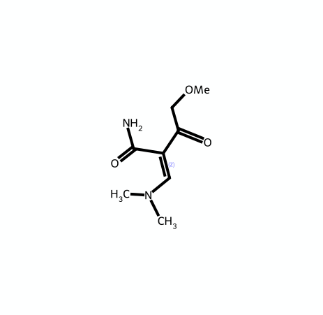 COCC(=O)/C(=C/N(C)C)C(N)=O